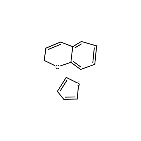 C1=Cc2ccccc2OC1.c1ccsc1